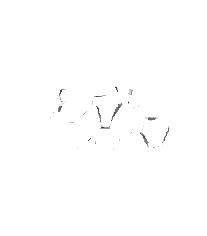 Nc1c(CC(=O)[O-])cccc1[S+]([O-])c1ccccc1Cl.[Na+]